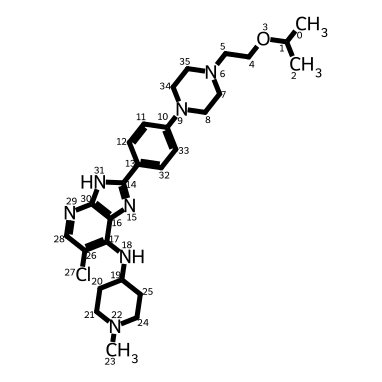 CC(C)OCCN1CCN(c2ccc(-c3nc4c(NC5CCN(C)CC5)c(Cl)cnc4[nH]3)cc2)CC1